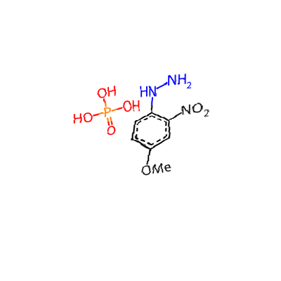 COc1ccc(NN)c([N+](=O)[O-])c1.O=P(O)(O)O